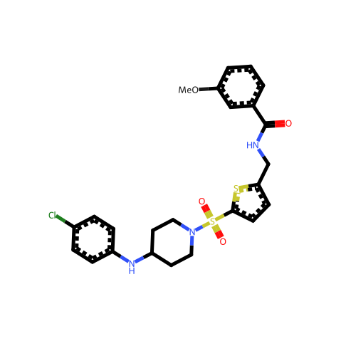 COc1cccc(C(=O)NCc2ccc(S(=O)(=O)N3CCC(Nc4ccc(Cl)cc4)CC3)s2)c1